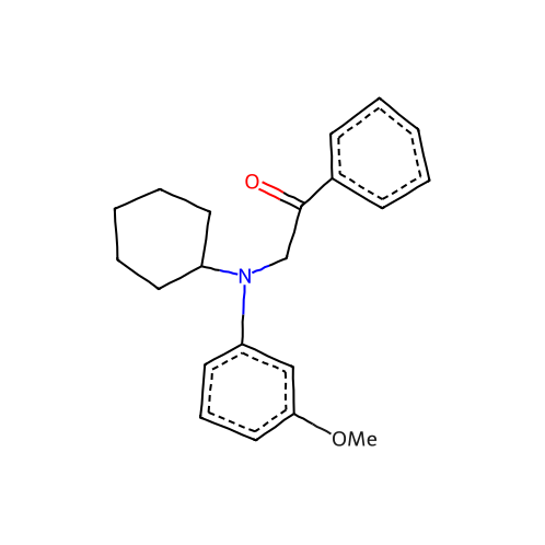 COc1cccc(N(CC(=O)c2ccccc2)C2CCCCC2)c1